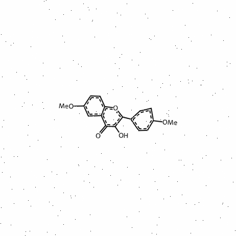 COc1ccc(-c2oc3ccc(OC)cc3c(=O)c2O)cc1